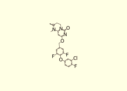 C[C@H]1CCn2c(cc(OCc3cc(F)c(Oc4ccc(F)c(Cl)c4)c(F)c3)nc2=O)N1C